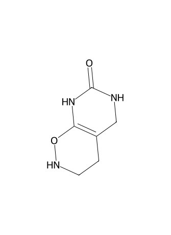 O=C1NCC2=C(N1)ONCC2